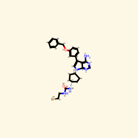 Nc1ncnc2c1c(-c1cccc(OCc3ccccc3)c1)cn2[C@H]1CC[C@@H](NC(=O)NCCBr)CC1